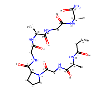 CCCC[C@H](NC(=O)CNC(=O)[C@@H]1CCCN1C(=O)CNC(=O)[C@H](C)NC(=O)CNC)C(=O)NCC(=O)N[C@@H](C)C(N)=O